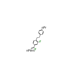 CCCCCC=C(F)c1ccc(CCc2ccc(CCC)cc2)c(F)c1